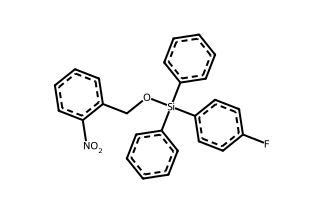 O=[N+]([O-])c1ccccc1CO[Si](c1ccccc1)(c1ccccc1)c1ccc(F)cc1